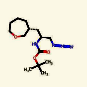 CC(C)(C)OC(=O)N[C@H](CN=[N+]=[N-])C[C@H]1CCCCOC1